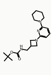 CC(C)(C)OC(=O)NCC1CN(c2cccc(N3CCCCC3)n2)C1